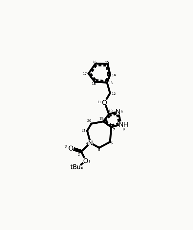 CC(C)(C)OC(=O)N1CCc2[nH]nc(OCc3ccccc3)c2CC1